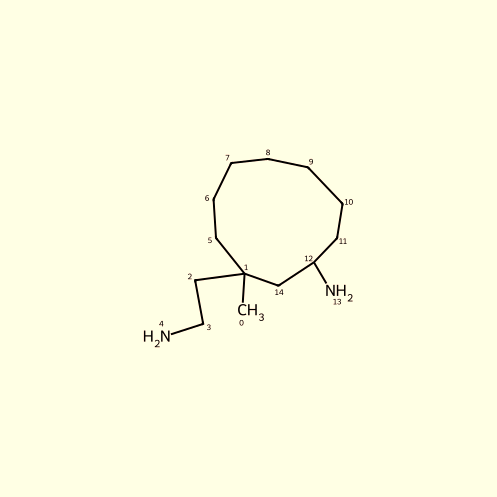 CC1(CCN)CCCCCCCC(N)C1